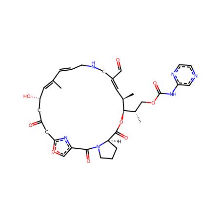 CC1=C\[C@@H](O)CC(=O)Cc2nc(co2)C(=O)N2CCC[C@@H]2C(=O)O[C@H]([C@@H](C)COC(=O)Nc2cnccn2)[C@H](C)/C=C(\C=O)CNC\C=C\1